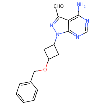 Nc1ncnc2c1c(C=O)nn2C1CC(OCc2ccccc2)C1